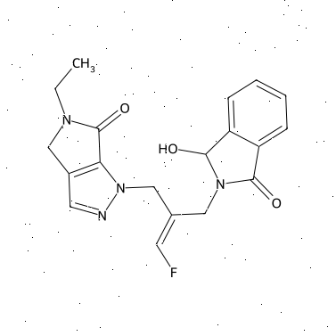 CCN1Cc2cnn(C/C(=C/F)CN3C(=O)c4ccccc4C3O)c2C1=O